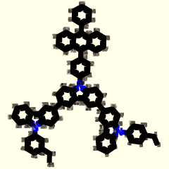 CCc1ccc(-n2c3ccccc3c3cc(-c4ccc5c(c4)c4cc(-c6ccc7c(c6)c6ccccc6n7-c6cccc(CC)c6)ccc4n5-c4ccc(-c5c6ccccc6c(-c6ccccc6)c6ccccc56)cc4)ccc32)cc1